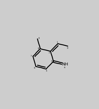 C/C=C1\C(=N)C=CC=C1C